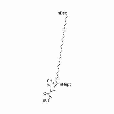 CC=C1C(C(CCCCCCC)CCCCCCCCCCCCCCCCCCCCCCCCCCCCCC)CN1C(=O)OC(C)(C)C